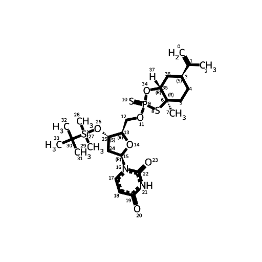 C=C(C)[C@H]1CC[C@@]2(C)SP(=S)(OC[C@H]3O[C@@H](n4ccc(=O)[nH]c4=O)C[C@@H]3O[Si](C)(C)C(C)(C)C)O[C@@H]2C1